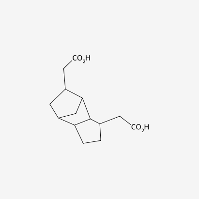 O=C(O)CC1CC2CC1C1C(CC(=O)O)CCC21